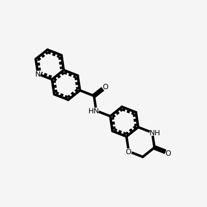 O=C1COc2cc(NC(=O)c3ccc4ncccc4c3)ccc2N1